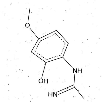 COc1ccc(NC(C)=N)c(O)c1